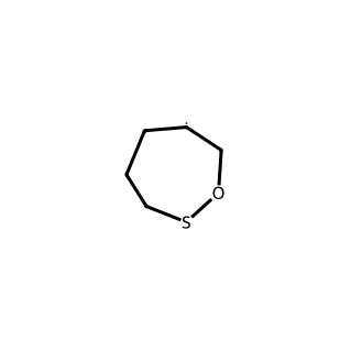 [CH]1CCCSOC1